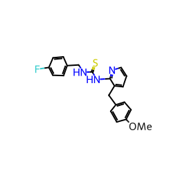 COc1ccc(Cc2cccnc2NC(=S)NCc2ccc(F)cc2)cc1